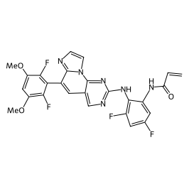 C=CC(=O)Nc1cc(F)cc(F)c1Nc1ncc2cc(-c3c(F)c(OC)cc(OC)c3F)c3nccn3c2n1